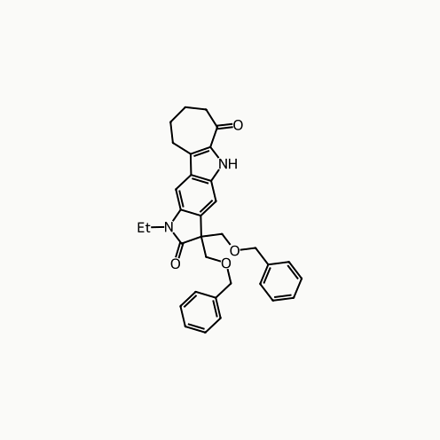 CCN1C(=O)C(COCc2ccccc2)(COCc2ccccc2)c2cc3[nH]c4c(c3cc21)CCCCC4=O